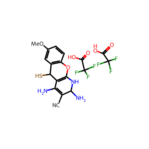 COc1ccc2c(c1)C(S)C1=C(NC(N)C(C#N)=C1N)O2.O=C(O)C(F)(F)F.O=C(O)C(F)(F)F